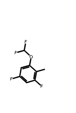 Cc1c(F)cc(F)cc1OC(F)F